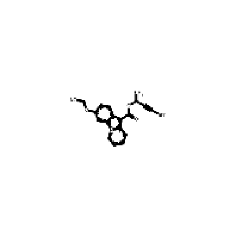 CCCC#CC(C)OC(=O)c1c2ccc(OCC#N)cc2n2ccccc12